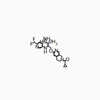 C/C(NN)=C(\COc1cc2c(cn1)CN(C(=O)C1CC1)CC2)Nc1ccc(C(F)F)nc1